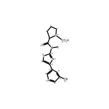 CN(C(=O)C1CCCN1C(=O)O)c1nc(-c2cncc(C#N)c2)cs1